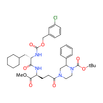 COC(=O)[C@H](CCC(=O)N1CCN(C(=O)OC(C)(C)C)C(c2ccccc2)C1)NC(=O)[C@H](CC1CCCCC1)NC(=O)OCc1cccc(Cl)c1